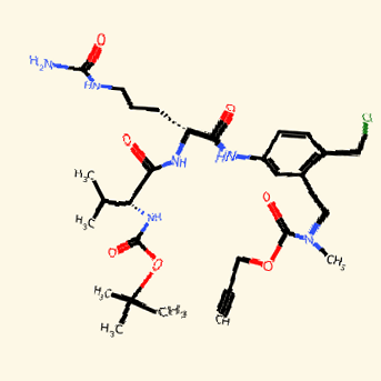 C#CCOC(=O)N(C)Cc1cc(NC(=O)[C@@H](CCCNC(N)=O)NC(=O)[C@H](NC(=O)OC(C)(C)C)C(C)C)ccc1CCl